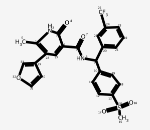 Cc1[nH]c(=O)c(C(=O)NC(c2ccc(S(C)(=O)=O)cc2)c2cccc(C(F)(F)F)c2)cc1-c1ccoc1